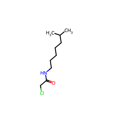 CC(C)CCCCCNC(=O)CCl